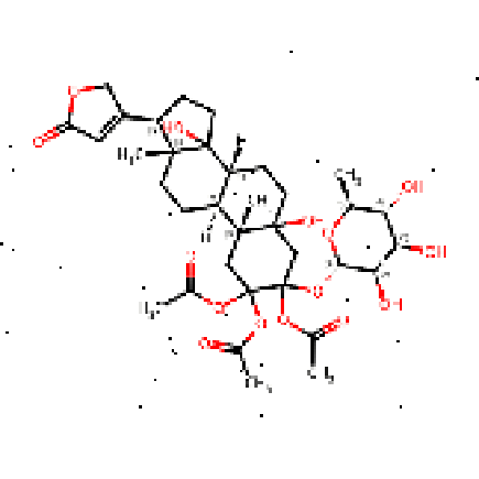 CC(=O)OC1(OC(C)=O)C[C@]2(C)[C@H]3CC[C@]4(C)[C@@H](C5=CC(=O)OC5)CCC4(O)[C@@H]3CCC2(O)CC1(OC(C)=O)O[C@@H]1O[C@@H](C)[C@H](O)[C@@H](O)[C@H]1O